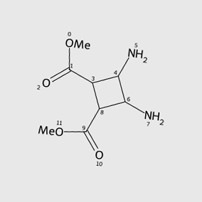 COC(=O)C1C(N)C(N)C1C(=O)OC